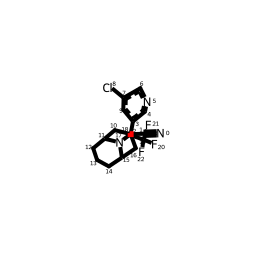 N#CC1(c2cncc(Cl)c2)CC2CCCC(C1)N2CC(F)(F)F